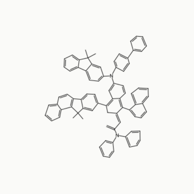 C=C(/C=C1\CC(c2ccc3c(c2)C(C)(C)c2c-3ccc3ccccc23)=c2cc(N(c3ccc(-c4ccccc4)cc3)c3ccc4c(c3)C(C)(C)c3ccccc3-4)ccc2=C1c1cccc2ccccc12)N(c1ccccc1)c1ccccc1